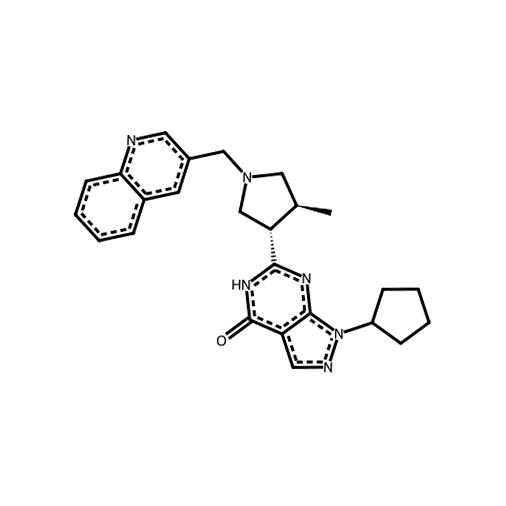 C[C@@H]1CN(Cc2cnc3ccccc3c2)C[C@H]1c1nc2c(cnn2C2CCCC2)c(=O)[nH]1